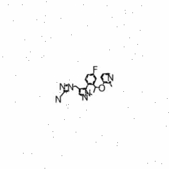 Cc1ncccc1OC(C)c1cc(F)ccc1-c1c(Cn2cnc(C#N)c2)cnn1C